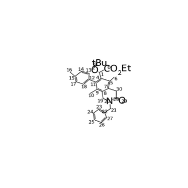 CCOC(=O)C(OC(C)(C)C)c1c(C)c2c(c(C)c1-c1ccc(C)cc1)CN(Cc1ccccc1)C(=O)C2